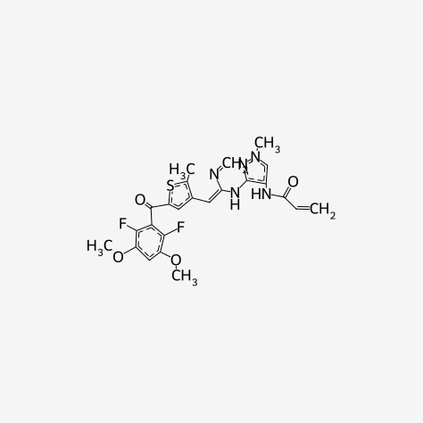 C=CC(=O)Nc1cn(C)nc1N/C(=C/c1cc(C(=O)c2c(F)c(OC)cc(OC)c2F)sc1C)N=C